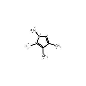 Cc1cn(N)c(C)c1C